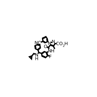 Cc1c(C(=O)O)nn(-c2cccc(C#N)c2)c1C(=O)Nc1cc(C(NCC2CC2)c2ccccc2)ccc1F